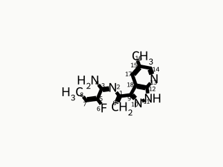 C=C(/N=C(N)\C(F)=C/C)c1n[nH]c2ncc(C)cc12